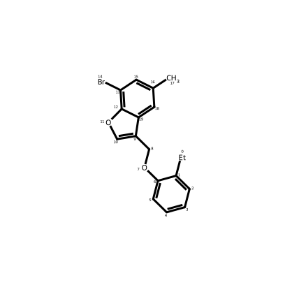 CCc1ccccc1OCc1coc2c(Br)cc(C)cc12